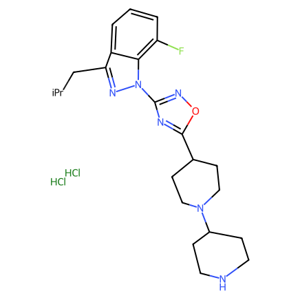 CC(C)Cc1nn(-c2noc(C3CCN(C4CCNCC4)CC3)n2)c2c(F)cccc12.Cl.Cl